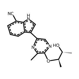 Cc1nc(-c2c[nH]c3c(C#N)cccc23)cnc1O[C@H](C)[C@@H](C)O